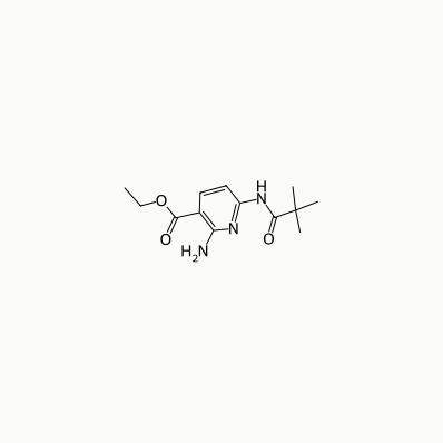 CCOC(=O)c1ccc(NC(=O)C(C)(C)C)nc1N